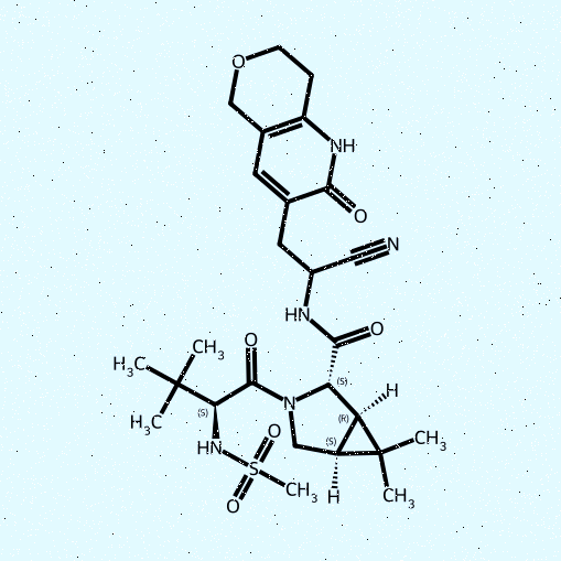 CC(C)(C)[C@H](NS(C)(=O)=O)C(=O)N1C[C@H]2[C@@H]([C@H]1C(=O)NC(C#N)Cc1cc3c([nH]c1=O)CCOC3)C2(C)C